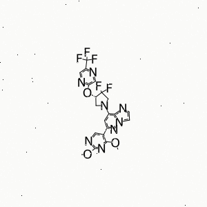 COc1ncc(-c2cc(N3CC(Oc4cnc(C(F)(F)F)cn4)C(F)(F)C3)c3nccn3n2)c(OC)n1